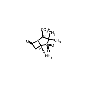 CC1(C)[C@H](C(=O)O)N2C(=O)C[C@H]2S1(=O)=O.N